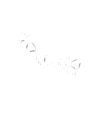 CN(CCc1ccc(C2=NCCN2)cc1)C(=O)CCCNCS(=O)(=O)c1c(Cl)cccc1Cl